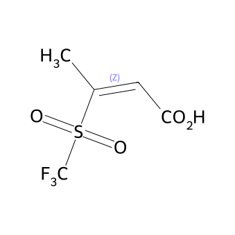 C/C(=C/C(=O)O)S(=O)(=O)C(F)(F)F